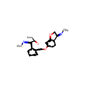 CNC(=O)/C(=N/OC)c1ccccc1COc1ccc2c(c1)OC/C2=N\OC